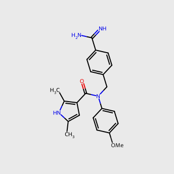 COc1ccc(N(Cc2ccc(C(=N)N)cc2)C(=O)c2cc(C)[nH]c2C)cc1